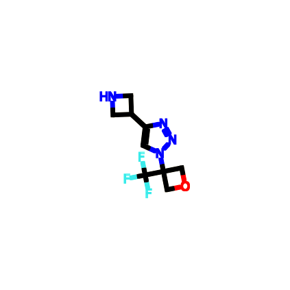 FC(F)(F)C1(n2cc(C3CNC3)nn2)COC1